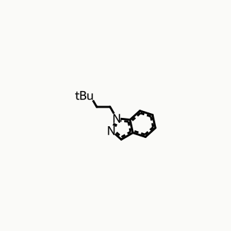 CC(C)(C)CCn1ncc2ccccc21